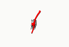 CCCCCCCCCCCCCCCCNC(=O)CCN(CCC(=O)NCCC(=O)NCCCCCCCCCCCC)CC(O)CN(CC)CCO